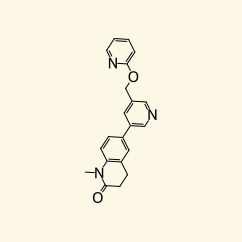 CN1C(=O)CCc2cc(-c3cncc(COc4ccccn4)c3)ccc21